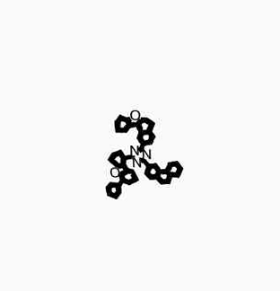 c1ccc(-c2cccc3c2oc2cccc(-c4nc(-c5ccc6ccc7ccccc7c6c5)nc(-c5ccc6ccc7oc8ccccc8c7c6c5)n4)c23)cc1